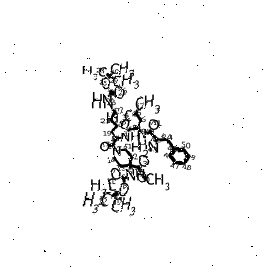 COC(=O)C1(NC(=O)OC(C)(C)C)CCN(C(=O)[C@@H](CCCCNC(=O)OC(C)(C)C)NC(=O)[C@@H](CC(C)C)NC(=O)C(N)Cc2ccccc2)CC1